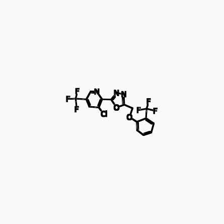 FC(F)(F)c1cnc(-c2nnc(COc3ccccc3C(F)(F)F)o2)c(Cl)c1